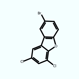 Clc1cc(Cl)c2oc3ccc(Br)cc3c2c1